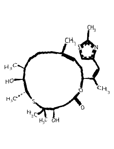 C/C1=C/C[C@@H](/C(C)=C\c2csc(C)n2)OC(=O)C[C@@H](O)C(C)(C)S[C@H](C)[C@@H](O)[C@@H](C)CCC1